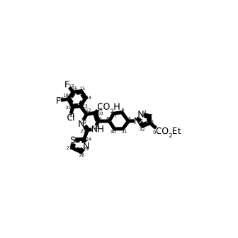 CCOC(=O)c1cnn(C2CCC(C3=C(C(=O)O)C(c4ccc(F)c(F)c4Cl)N=C(c4nccs4)N3)CC2)c1